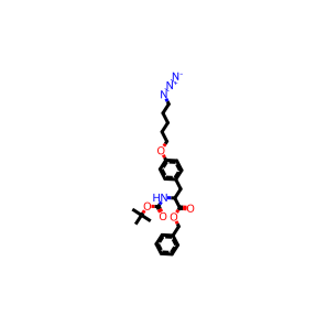 CC(C)(C)OC(=O)NC(Cc1ccc(OCCCCCN=[N+]=[N-])cc1)C(=O)OCc1ccccc1